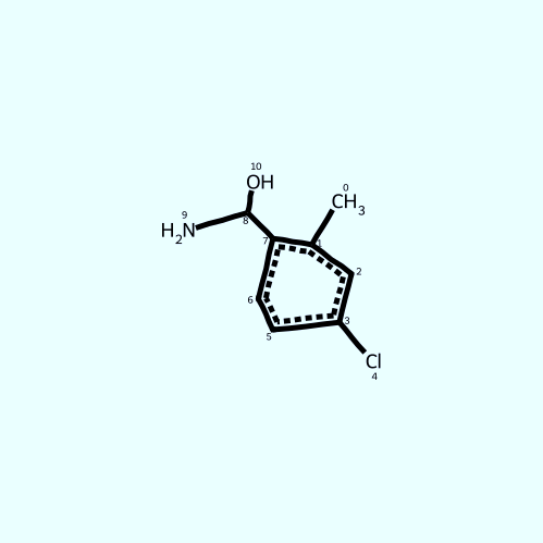 Cc1cc(Cl)ccc1C(N)O